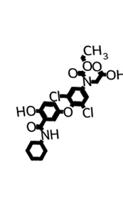 CCOC(=O)N(CC(=O)O)c1cc(Cl)c(Oc2ccc(O)c(C(=O)NC3CCCCC3)c2)c(Cl)c1